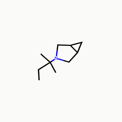 CCC(C)(C)N1CC2CC2C1